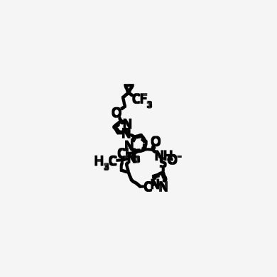 CC1(C)CC2CCCn3cc(cn3)[S+]([O-])NC(=O)c3ccc(-n4ccc(OCCC5(C(F)(F)F)CC5)n4)nc3N1C2